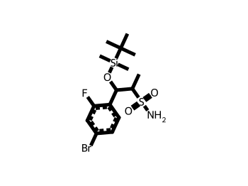 CC(C(O[Si](C)(C)C(C)(C)C)c1ccc(Br)cc1F)S(N)(=O)=O